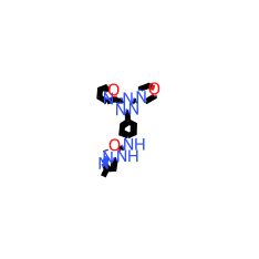 Cc1cc(NC(=O)Nc2ccc(-c3nc(N4CCOCC4)nc(N4CC5CCC4CO5)n3)cc2)n(C)n1